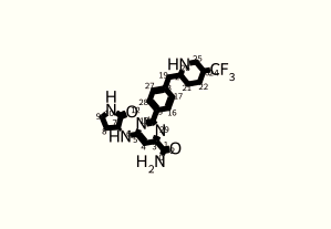 NC(=O)c1cc(N[C@H]2CCNC2=O)nc(-c2ccc(CC3CCC(C(F)(F)F)CN3)cc2)n1